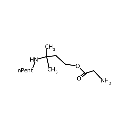 CCCCCNC(C)(C)CCOC(=O)CN